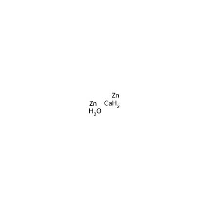 O.[CaH2].[Zn].[Zn]